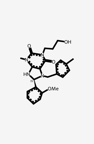 COc1ccccc1[C@H]1Nc2c(c(=O)n(CCCO)c(=O)n2C)N1Cc1ccc(C)cc1